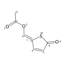 CC(=O)O/C=C1/C=CC(=O)S1